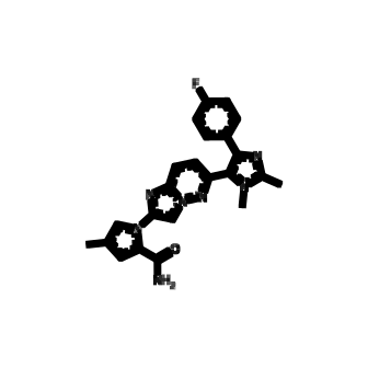 Cc1cc(C(N)=O)n(-c2cn3nc(-c4c(-c5ccc(F)cc5)nc(C)n4C)ccc3n2)c1